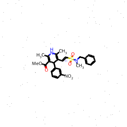 COC(=O)C1=C(C)NC(C)=C(/C=C/S(=O)(=O)N(C)Cc2ccccc2)C1c1cccc([N+](=O)[O-])c1